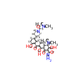 CN(C)CC(=O)N1CC=C(c2ccc(O)c3c2CC2CC4C(C(=O)C(C(N)=O)=C(O)[C@H]4N(C)C)C(O)=C2C3=O)CC1